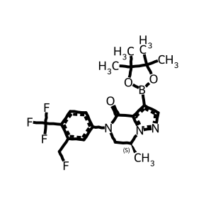 C[C@H]1CN(c2ccc(C(F)(F)F)c(CF)c2)C(=O)c2c(B3OC(C)(C)C(C)(C)O3)cnn21